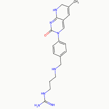 CC1=Cc2cn(-c3ccc(CNCCCNC(=N)N)cc3)c(=O)nc2NC1